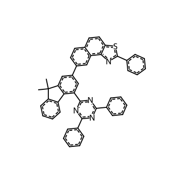 CC1(C)c2ccccc2-c2c(-c3nc(-c4ccccc4)nc(-c4ccccc4)n3)cc(-c3ccc4ccc5sc(-c6ccccc6)nc5c4c3)cc21